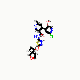 COc1cnc(Cl)cc1-c1cc(C)ncc1C(=O)Nc1nnc(O[C@H]2CC[C@@]23CCOC3)s1